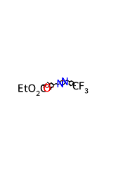 CCOC(=O)C(C)(C)Oc1c(C)cc(CCN2CCN(Cc3ccc(C(F)(F)F)cc3)CC2)cc1C